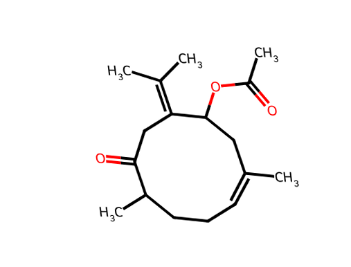 CC(=O)OC1CC(C)=CCCC(C)C(=O)CC1=C(C)C